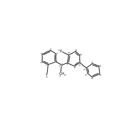 CN(c1ccccc1F)c1cc(-c2ccccc2)ccc1F